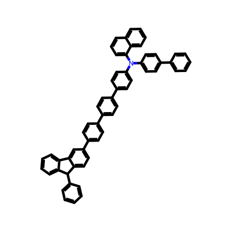 c1ccc(-c2ccc(N(c3ccc(-c4ccc(-c5ccc(-c6ccc7c(c6)-c6ccccc6C7c6ccccc6)cc5)cc4)cc3)c3cccc4ccccc34)cc2)cc1